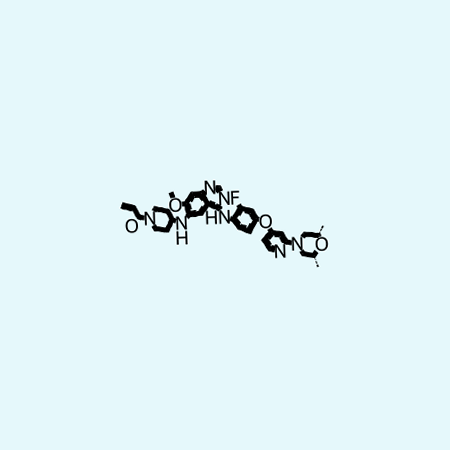 C=CC(=O)N1CCC(Nc2cc3c(Nc4ccc(Oc5ccnc(N6C[C@@H](C)O[C@@H](C)C6)c5)cc4F)ncnc3cc2OC)CC1